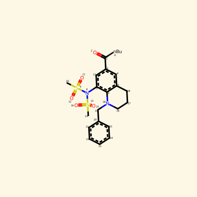 CCCCC(=O)c1cc2c(c(N(S(C)(=O)=O)S(C)(=O)=O)c1)N(Cc1ccccc1)CCC2